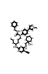 C#Cc1cnc(NC(CCC)CCCN(C(=O)NCc2ccccc2)c2ccc(-c3cnn(C)c3)cn2)nc1NCC1(O)CCCCC1